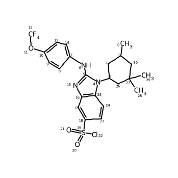 CC1CC(n2c(Nc3ccc(OC(F)(F)F)cc3)nc3cc(S(=O)(=O)Cl)ccc32)CC(C)(C)C1